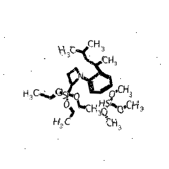 CCO[Si](OCC)(OCC)C1CCN1c1ccccc1C(C)CC(C)C.CO[SiH](OC)OC